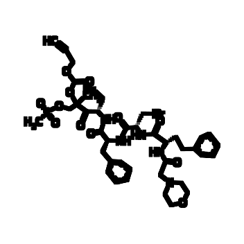 C#CCOC(=O)OC(C)(COS(C)(=O)=O)C(=O)[C@H](CC(C)C)NC(=O)[C@H](Cc1ccccc1)NC(=O)[C@H](CC(C)C)NC(=O)[C@H](CCc1ccccc1)NC(=O)CN1CCOCC1